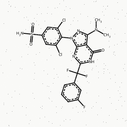 CN(C)c1nn(-c2c(Cl)cc(S(N)(=O)=O)cc2Cl)c2nc(C(F)(F)c3cccc(F)c3)[nH]c(=O)c12